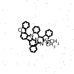 C[Si]1(C)c2ccccc2-c2c(-c3ccccc3-n3c4ccccc4c4ccc5oc6ccccc6c5c43)nc(-c3ccccc3)nc21